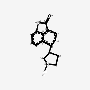 O=C1Nc2cccc3c(C4CCN(Cl)C4)ccc1c23